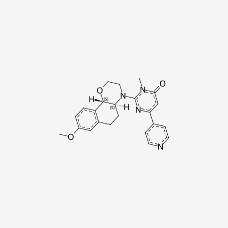 COc1ccc2c(c1)CC[C@H]1[C@H]2OCCN1c1nc(-c2ccncc2)cc(=O)n1C